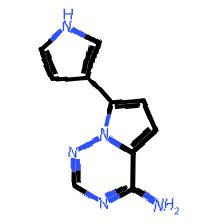 Nc1ncnn2c(-c3cc[nH]c3)ccc12